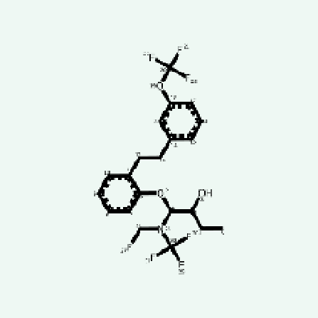 CCC(O)C(Oc1ccccc1CCc1cccc(OC(F)(F)F)c1)N(CF)C(F)(F)F